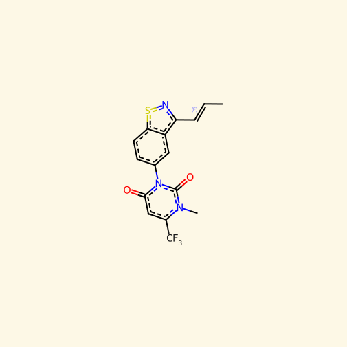 C/C=C/c1nsc2ccc(-n3c(=O)cc(C(F)(F)F)n(C)c3=O)cc12